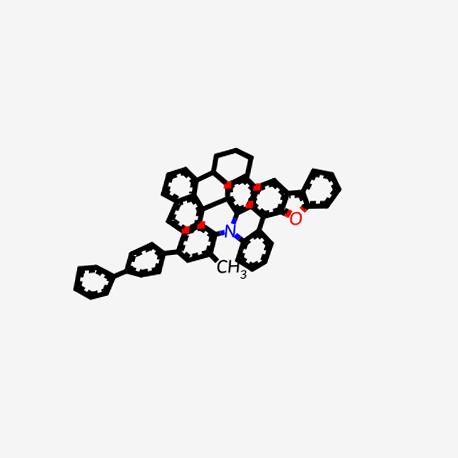 Cc1cc(-c2ccc(-c3ccccc3)cc2)ccc1N(c1ccccc1-c1cccc2c1oc1ccccc12)c1ccccc1-c1cccc2cccc(C3CCCCC3)c12